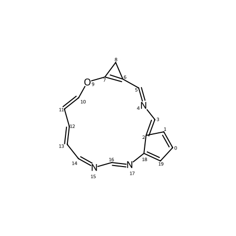 C1=C/C2=C\N=C\C3=C(C3)O/C=C/C=C/C=N\C=N\C2=C1